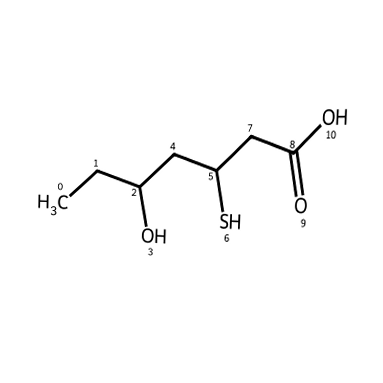 CCC(O)CC(S)CC(=O)O